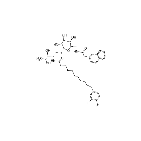 C[C@@H](O)[C@@H](O)[C@H](CO[C@H]1OC(CNC(=O)Cc2ccc3ccccc3c2)[C@H](O)C(O)C1O)NC(=O)CCCCCCCCCCc1ccc(F)c(F)c1